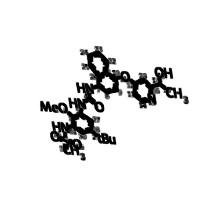 COc1c(NC(=O)Nc2ccc(Oc3ccnc(C(C)O)c3)c3ccccc23)cc(C(C)(C)C)cc1NS(C)(=O)=O